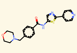 O=C(Nc1cnc(-c2ccncc2)s1)c1ccc(CN2CCOCC2)cc1